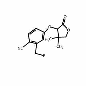 CC1(C)COC(=O)C1Oc1ccc(C#N)c(CF)c1